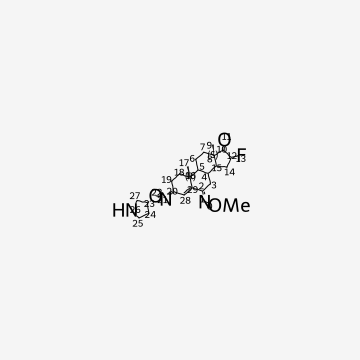 CON=C1CC2C(CC[C@]3(C)C(=O)C(F)CC23)[C@@]2(C)CCC(=NOC3CCNC3)C=C12